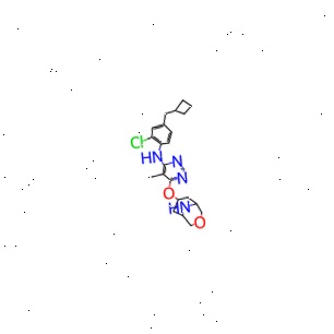 Cc1c(Nc2ccc(CC3CCC3)cc2Cl)ncnc1OC1CC2COCC(C1)N2